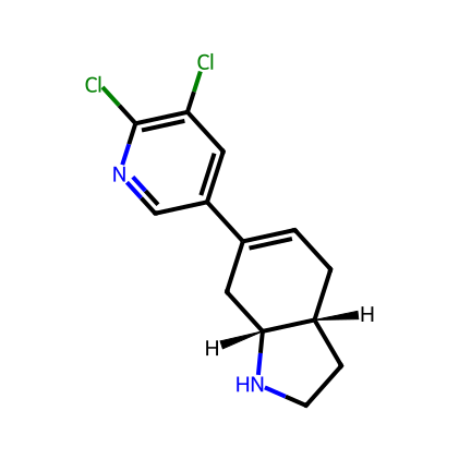 Clc1cc(C2=CC[C@@H]3CCN[C@@H]3C2)cnc1Cl